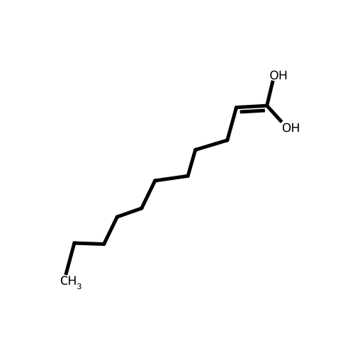 CCCCCCCCCC=C(O)O